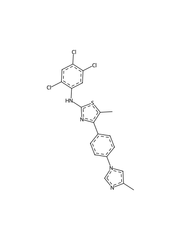 Cc1cn(-c2ccc(-c3nc(Nc4cc(Cl)c(Cl)cc4Cl)sc3C)cc2)cn1